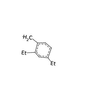 [CH2]c1ccc(CC)cc1CC